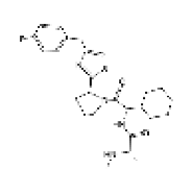 CN[C@@H](C)C(=O)N[C@H](C(=O)N1CCC[C@H]1c1nc(Cc2ccc(F)cc2)cs1)C1CCCCC1